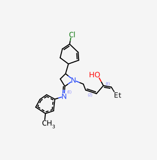 CC/C=C(O)\C=C/CN1/C(=N/c2cccc(C)c2)CC1C1C=CC(Cl)=CC1